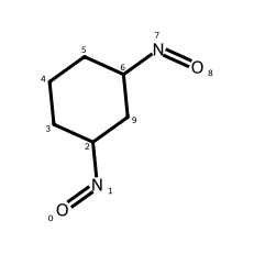 O=NC1CCCC(N=O)C1